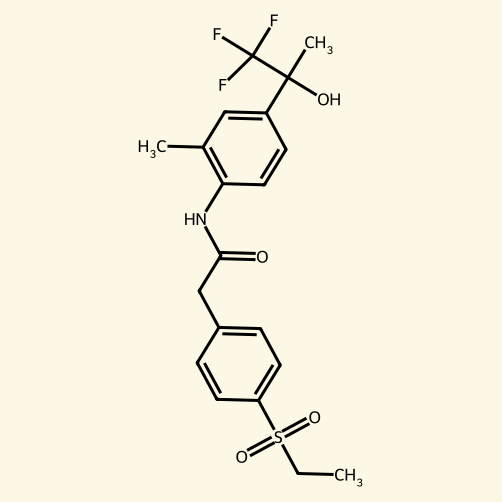 CCS(=O)(=O)c1ccc(CC(=O)Nc2ccc(C(C)(O)C(F)(F)F)cc2C)cc1